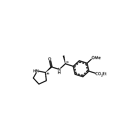 CCOC(=O)c1ccc([C@H](C)NC(=O)[C@H]2CCCN2)cc1OC